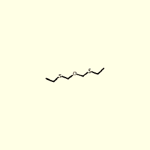 CCSCOCSCC